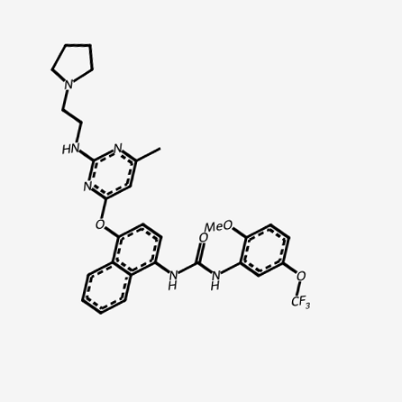 COc1ccc(OC(F)(F)F)cc1NC(=O)Nc1ccc(Oc2cc(C)nc(NCCN3CCCC3)n2)c2ccccc12